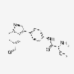 CC(N)C(=O)Nc1ccc(-c2cnn3ccc(C=O)cc23)cc1